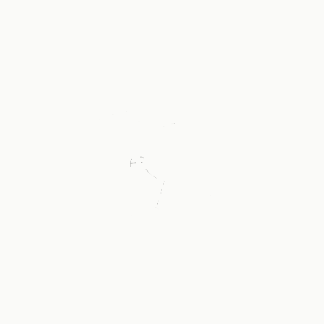 CC1CCC(C(C)C)C(PC2CC(C)CCC2C(C)C)C1